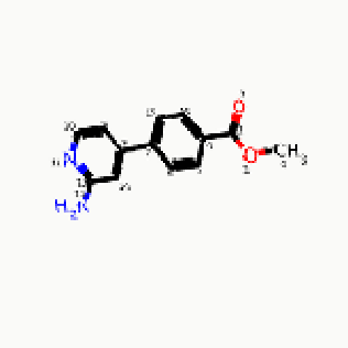 COC(=O)c1ccc(-c2ccnc(N)c2)cc1